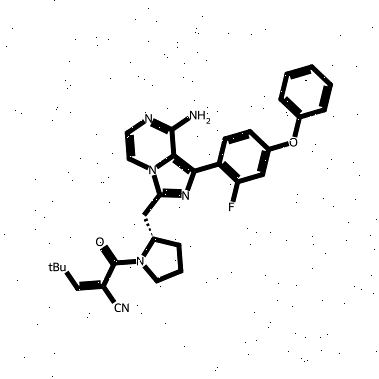 CC(C)(C)/C=C(/C#N)C(=O)N1CCC[C@H]1Cc1nc(-c2ccc(Oc3ccccc3)cc2F)c2c(N)nccn12